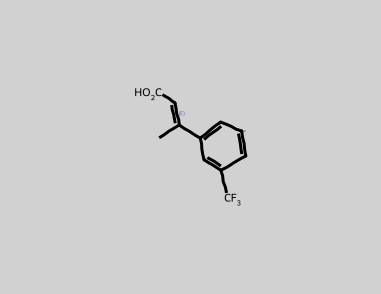 C/C(=C\C(=O)O)c1c[c]cc(C(F)(F)F)c1